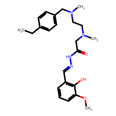 CCc1ccc(CN(C)CCN(C)CC(=O)N/N=C/c2cccc(OC)c2O)cc1